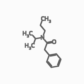 CCCN(C(=O)Cc1ccccc1)C(C)C